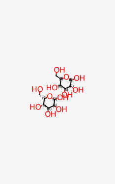 OC[C@@H]1O[C@@H](O)[C@@H](O)[C@H](O)[C@@H]1O.OC[C@H]1O[C@@H](O)[C@H](O)[C@@H](O)[C@H]1O